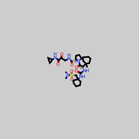 CN(C)S(=O)(=O)CC1(NC(=O)N[C@H](C(=O)N2CCC[C@H]2C(=O)NCC(=O)C(=O)NC2CC2)C2(C)CCCCC2)CCCCC1